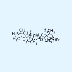 BC(C)(C)C(C)COC(C)(C)C(C)(C)CCOC(C)(C)C(C)(C)C(C)COC(C)C